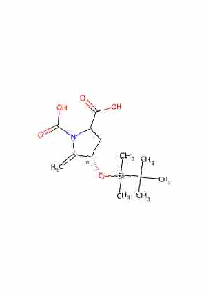 C=C1[C@@H](O[Si](C)(C)C(C)(C)C)CC(C(=O)O)N1C(=O)O